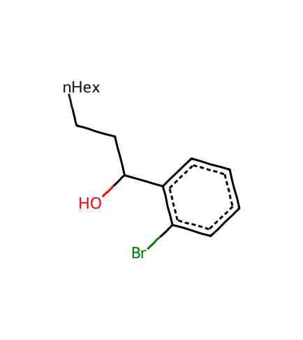 CCCCCCCCC(O)c1ccccc1Br